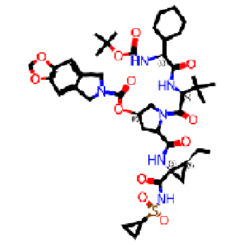 CC[C@H]1C[C@@]1(NC(=O)C1C[C@@H](OC(=O)N2Cc3cc4c(cc3C2)OCO4)CN1C(=O)[C@@H](NC(=O)[C@@H](NC(=O)OC(C)(C)C)C1CCCCC1)C(C)(C)C)C(=O)NS(=O)(=O)C1CC1